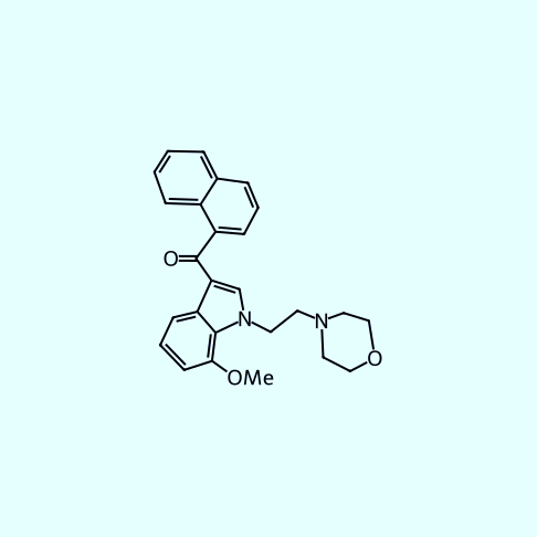 COc1cccc2c(C(=O)c3cccc4ccccc34)cn(CCN3CCOCC3)c12